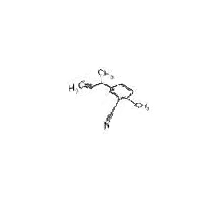 C=C[C](C)c1ccc(C)c(C#N)c1